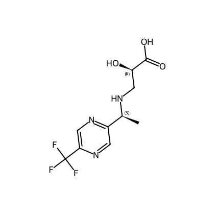 C[C@H](NC[C@@H](O)C(=O)O)c1cnc(C(F)(F)F)cn1